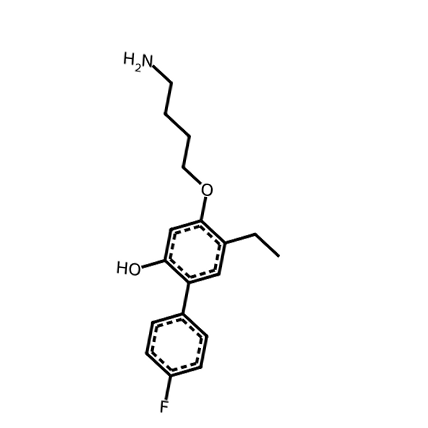 CCc1cc(-c2ccc(F)cc2)c(O)cc1OCCCCN